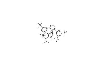 CC(C)C1CCCC2=C1SCN2c1c(-c2cc(C(C)(C)C)cc(C(C)(C)C)c2)cccc1-c1cc(C(C)(C)C)cc(C(C)(C)C)c1